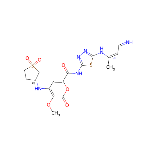 COc1c(N[C@@H]2CCS(=O)(=O)C2)cc(C(=O)Nc2nnc(N/C(C)=C\C=N)s2)oc1=O